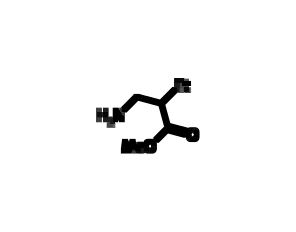 CCC(CN)C(=O)OC